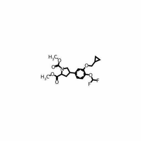 COC(=O)C1CC(c2ccc(OC(F)F)c(OCC3CC3)c2)CN1C(=O)OC